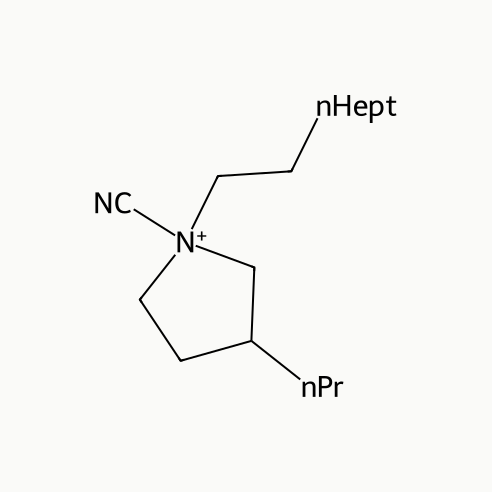 CCCCCCCCC[N+]1(C#N)CCC(CCC)C1